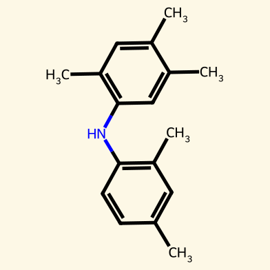 Cc1ccc(Nc2cc(C)c(C)cc2C)c(C)c1